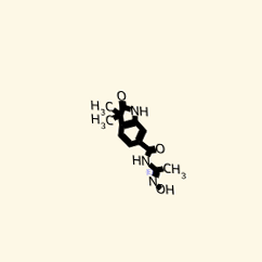 C/C(=N\O)NC(=O)c1ccc2c(c1)NC(=O)C2(C)C